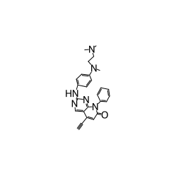 C#Cc1cc(=O)n(-c2ccccc2)c2nc(Nc3ccc(N(C)CCN(C)C)cc3)ncc12